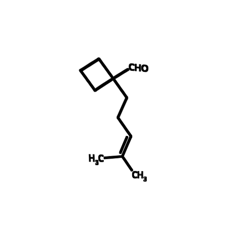 CC(C)=CCCC1(C=O)CCC1